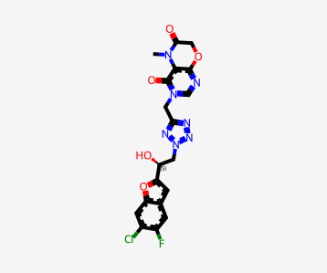 CN1C(=O)COc2ncn(Cc3nnn(C[C@H](O)c4cc5cc(F)c(Cl)cc5o4)n3)c(=O)c21